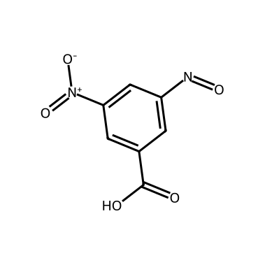 O=Nc1cc(C(=O)O)cc([N+](=O)[O-])c1